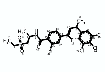 C[C@H](CS(=O)(=O)CC(F)(F)F)NC(=O)c1ccc(/C(F)=C/C(c2cc(Cl)c(Cl)c(Cl)c2)C(F)(F)F)cc1Br